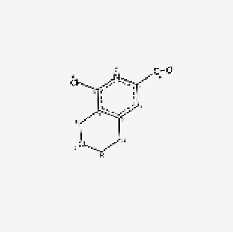 O=Cc1cc2c(c(Cl)n1)COCC2